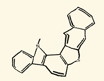 Cn1c2ccccc2c2ccc3sc4cc5ccccc5cc4c3c21